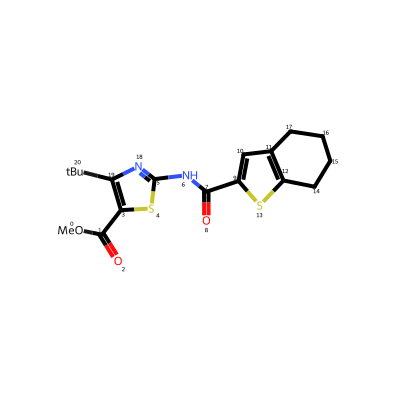 COC(=O)c1sc(NC(=O)c2cc3c(s2)CCCC3)nc1C(C)(C)C